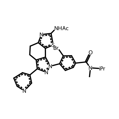 CC(=O)Nc1nc2c(s1)-c1c(c(-c3cccnc3)nn1-c1ccc(C(=O)N(C)C(C)C)cc1Br)CC2